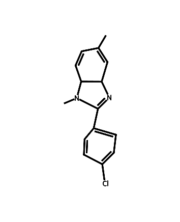 CC1=CC2N=C(c3ccc(Cl)cc3)N(C)C2C=C1